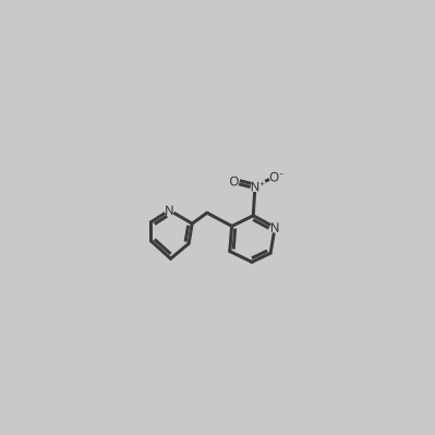 O=[N+]([O-])c1ncccc1Cc1ccccn1